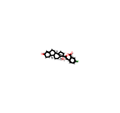 C[C@]12CCC3[C@@H](CCC4=CC(=O)CC[C@@H]43)[C@@H]1CC[C@@]2(O)c1cc2ccc(F)cc2c(=O)o1